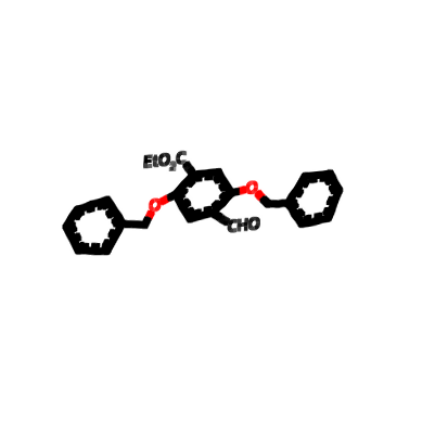 CCOC(=O)c1cc(OCc2ccccc2)c(C=O)cc1OCc1ccccc1